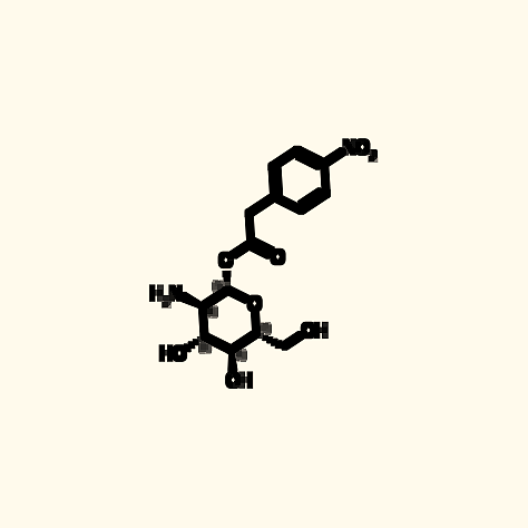 N[C@H]1[C@H](OC(=O)Cc2ccc([N+](=O)[O-])cc2)O[C@H](CO)[C@@H](O)[C@@H]1O